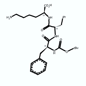 CC(C)C[C@H](NC(=O)[C@H](Cc1ccccc1)NC(=O)OC(C)(C)C)C(=O)N[C@@H](CCCCN)C(=O)O